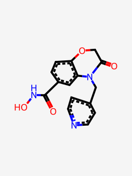 O=C(NO)c1ccc2c(c1)N(Cc1ccncc1)C(=O)CO2